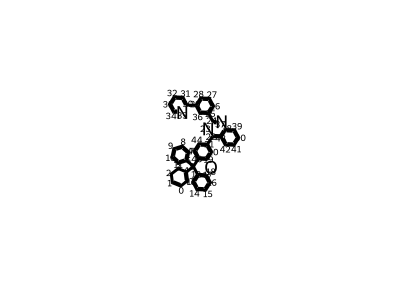 C1=CCCC(C2(c3ccccc3)c3ccccc3Oc3cc(-c4nc(-c5cccc(-c6ccccn6)c5)nc5ccccc45)ccc32)=C1